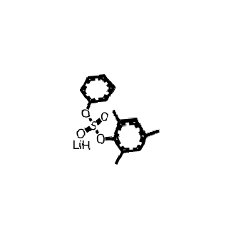 Cc1cc(C)c(OS(=O)(=O)Oc2ccccc2)c(C)c1.[LiH]